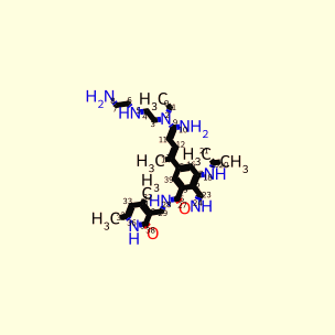 CCN(CCNCCN)/C(N)=C/C=C(\C)c1cc(NC(C)C)c(C=N)c(C(=O)NCc2c(C)cc(C)[nH]c2=O)c1